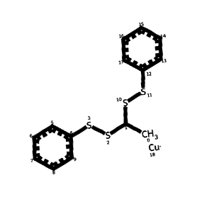 CC(SSc1ccccc1)SSc1ccccc1.[Cu]